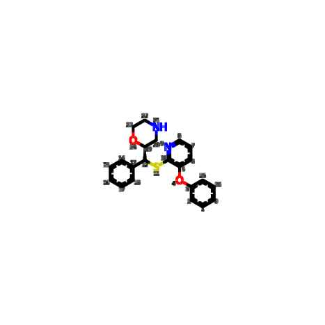 c1ccc(Oc2cccnc2SC(c2ccccc2)[C@@H]2CNCCO2)cc1